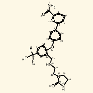 NC(=O)c1cccc(-c2ccc(Oc3ccc(C(F)(F)F)cc3CNCCN3CCNC3=O)cc2)n1